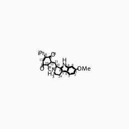 COc1ccc2c3c([nH]c2c1)C(CC1C(=O)C(C(C)C)=CC(=O)C1C)=NCC3